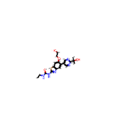 CCNC(=O)Nc1nc2cc(-c3cnc(C(C)(C)O)nc3)c(OCCO)cc2s1